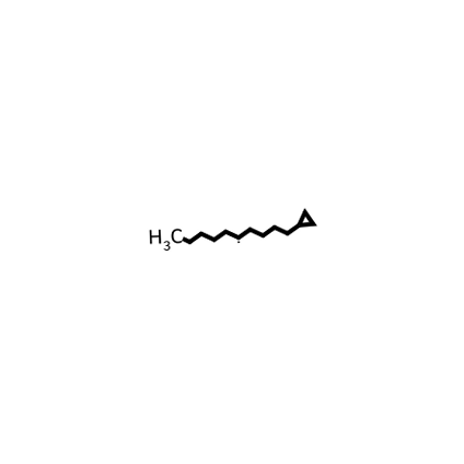 CCCCC[CH]CCCCC1CC1